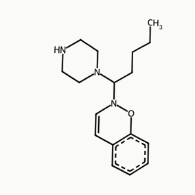 CCCCC(N1CCNCC1)N1C=Cc2ccccc2O1